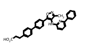 Cc1noc(-c2ccc(-c3ccc(CCC(=O)O)cc3)cc2)c1Nc1cccc(-c2ccccc2)n1